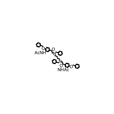 CC(=O)Nc1cc(C(=O)CN(CCCCN(CC(=O)c2ccc(OCc3ccccc3)c(NC(C)=O)c2)Cc2ccccc2)Cc2ccccc2)ccc1OCc1ccccc1